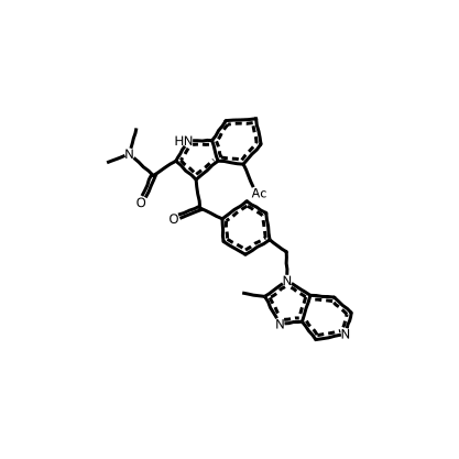 CC(=O)c1cccc2[nH]c(C(=O)N(C)C)c(C(=O)c3ccc(Cn4c(C)nc5cnccc54)cc3)c12